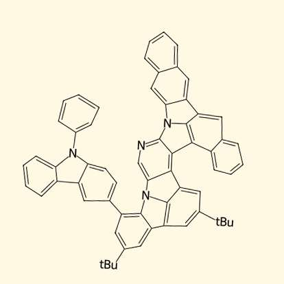 CC(C)(C)c1cc(-c2ccc3c(c2)c2ccccc2n3-c2ccccc2)c2c(c1)c1cc(C(C)(C)C)cc3c4c5c6c7ccccc7cc7c8cc9ccccc9cc8n(c5ncc4n2c13)c76